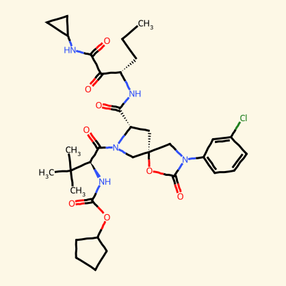 CCC[C@H](NC(=O)[C@@H]1C[C@@]2(CN(c3cccc(Cl)c3)C(=O)O2)CN1C(=O)[C@@H](NC(=O)OC1CCCC1)C(C)(C)C)C(=O)C(=O)NC1CC1